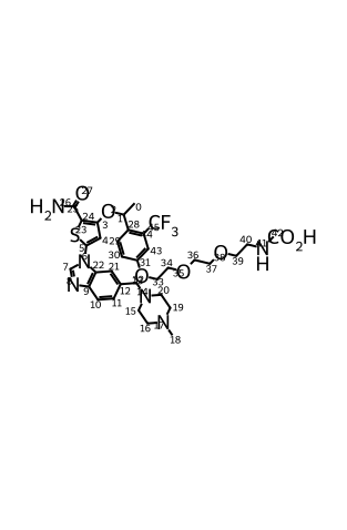 CC(Oc1cc(-n2cnc3ccc(CN4CCN(C)CC4)cc32)sc1C(N)=O)c1ccc(OCCOCCOCCNC(=O)O)cc1C(F)(F)F